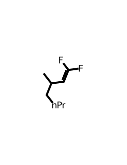 [CH2]CCCC(C)C=C(F)F